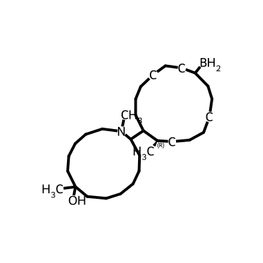 BC1CCCCCCC(C2CCCCCCC(C)(O)CCCCCN2C)[C@H](C)CCCCCC1